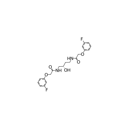 O=C(COc1cccc(F)c1)NCC[C@H](O)CNC(=O)COc1cccc(F)c1